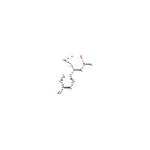 CC(O)CC(c1ccc(Cl)cc1)C1CC1